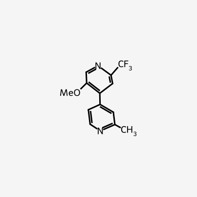 COc1cnc(C(F)(F)F)cc1-c1ccnc(C)c1